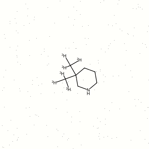 [2H]C([2H])([2H])C1(C([2H])([2H])[2H])C[CH]CNC1